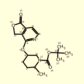 CC1CCC(Oc2nccc3c2COC3=O)CN1C(=O)OC(C)(C)C